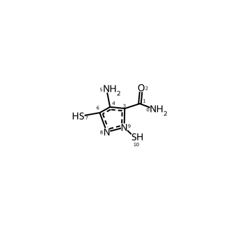 NC(=O)c1c(N)c(S)nn1S